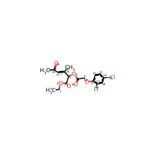 CCOC(=O)C(OC(=O)COc1ccc(Cl)cc1Cl)/C(C)=C/C(C)=O